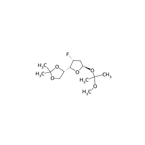 COC(C)(C)O[C@@H]1C[C@@H](F)C([C@@H]2COC(C)(C)O2)O1